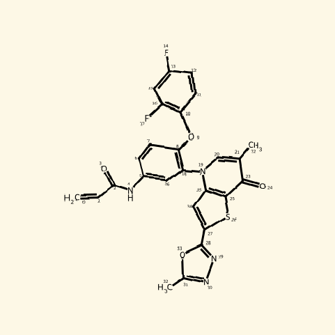 C=CC(=O)Nc1ccc(Oc2ccc(F)cc2F)c(-n2cc(C)c(=O)c3sc(-c4nnc(C)o4)cc32)c1